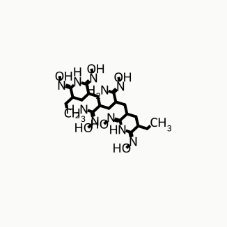 CCC1CC(CC(CC(CC2CC(CC)/C(=N/O)N/C2=N\O)/C(N)=N/O)/C(N)=N/O)/C(=N/O)N/C1=N\O